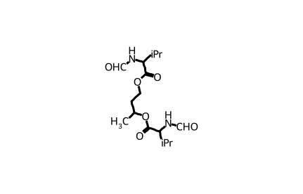 CC(CCOC(=O)C(NC=O)C(C)C)OC(=O)C(NC=O)C(C)C